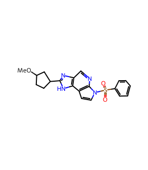 COC1CCC(c2nc3cnc4c(ccn4S(=O)(=O)c4ccccc4)c3[nH]2)C1